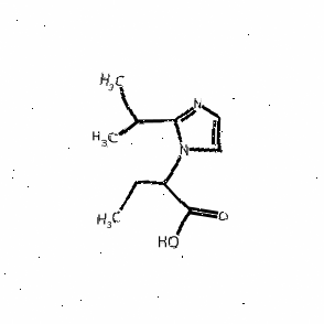 CCC(C(=O)O)n1ccnc1C(C)C